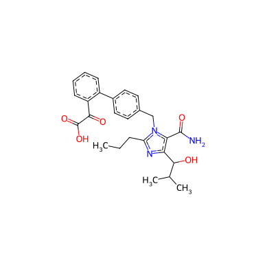 CCCc1nc(C(O)C(C)C)c(C(N)=O)n1Cc1ccc(-c2ccccc2C(=O)C(=O)O)cc1